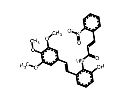 COc1cc(/C=C/c2cccc(O)c2NC(=O)/C=C/c2ccccc2[N+](=O)[O-])cc(OC)c1OC